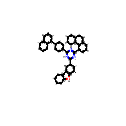 c1ccc2c(-c3ccc(-c4nc(-c5ccc6oc7ccccc7c6c5)nc(-c5cccc6ccc7ccccc7c56)n4)cc3)cccc2c1